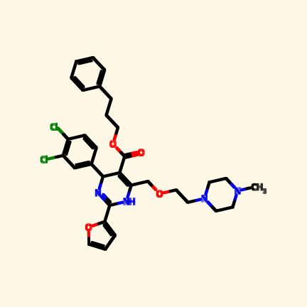 CN1CCN(CCOCC2=C(C(=O)OCCCc3ccccc3)C(c3ccc(Cl)c(Cl)c3)N=C(c3ccco3)N2)CC1